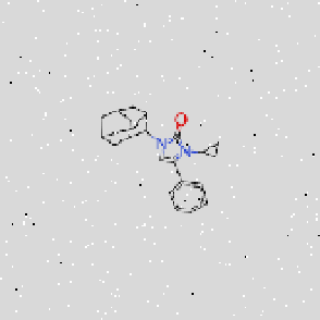 O=c1n(C2C3CC4CC(C3)CC2C4)cc(-c2ccccc2)n1C1CC1